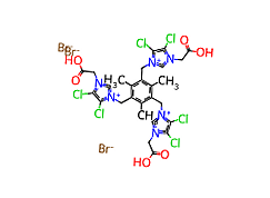 Cc1c(C[n+]2cn(CC(=O)O)c(Cl)c2Cl)c(C)c(C[n+]2cn(CC(=O)O)c(Cl)c2Cl)c(C)c1C[n+]1cn(CC(=O)O)c(Cl)c1Cl.[Br-].[Br-].[Br-]